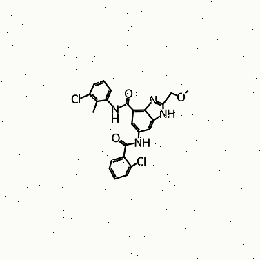 COCc1nc2c(C(=O)Nc3cccc(Cl)c3C)cc(NC(=O)c3ccccc3Cl)cc2[nH]1